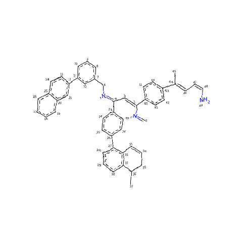 C=N/C(=C\C(=N/Cc1cccc(-c2ccc3ccccc3c2)c1)c1ccc(-c2cccc3c2C=CCC3C)cc1)c1ccc(/C(C)=C/C=C\N)cc1